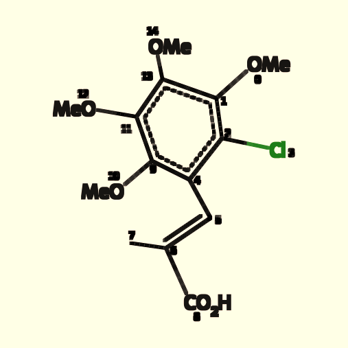 COc1c(Cl)c(C=C(C)C(=O)O)c(OC)c(OC)c1OC